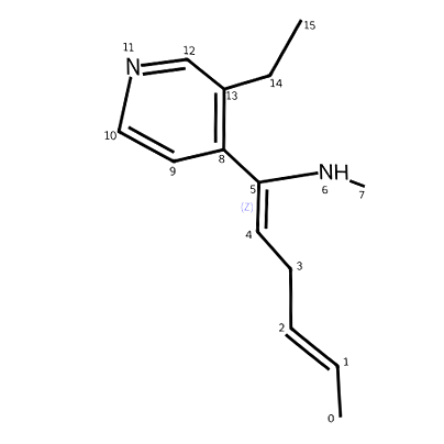 CC=CC/C=C(\NC)c1ccncc1CC